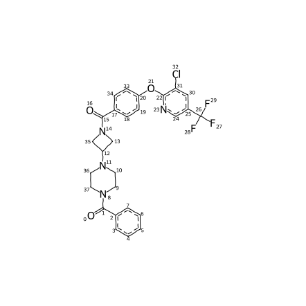 O=C(c1ccccc1)N1CCN(C2CN(C(=O)c3ccc(Oc4ncc(C(F)(F)F)cc4Cl)cc3)C2)CC1